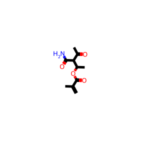 C=C(C)C(=O)OC(C)C(C(C)=O)C(N)=O